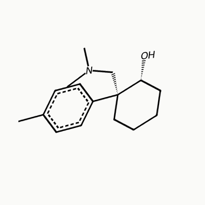 Cc1ccc([C@]2(CN(C)C)CCCC[C@H]2O)cc1